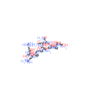 CC(C)C[C@H](NC(=O)[C@@H]1CCCN1C(=O)[C@@H](NC(=O)[C@@H](N)CO)[C@@H](C)O)C(=O)NCC(=O)N[C@@H](CCC(N)=O)C(=O)N[C@@H](CCC(N)=O)C(=O)N[C@@H](CCC(N)=O)C(=O)N1CCC[C@H]1C(=O)N[C@@H](C)C(=O)N1CCC[C@H]1C(=O)N[C@@H](CCCNC(=N)N)C(=O)N[C@H](C(=O)N[C@@H](CCCNC(=N)N)C(=O)O)[C@@H](C)O